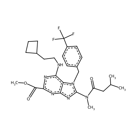 COC(=O)c1nc(NCCC2CCC2)c2c(n1)nc(N(C)C(=O)CC(C)C)n2Cc1ccc(C(F)(F)F)cc1